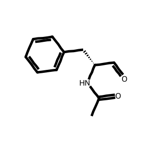 CC(=O)N[C@@H](C=O)Cc1ccccc1